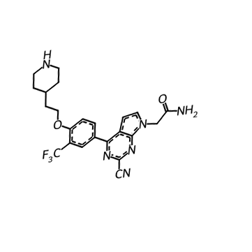 N#Cc1nc(-c2ccc(OCCC3CCNCC3)c(C(F)(F)F)c2)c2ccn(CC(N)=O)c2n1